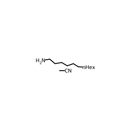 CC#N.CCCCCCCCCCCCN